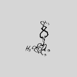 CC1CC2(CCN(C(=O)OC(C)(C)C)CC2)C1